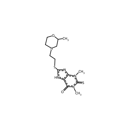 CC1CN(CCSc2nc3c([nH]2)c(=O)n(C)c(=S)n3C)CCO1